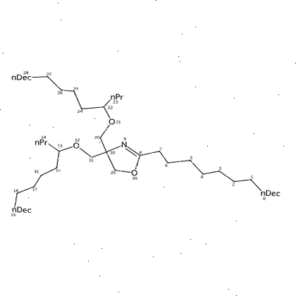 CCCCCCCCCCCCCCCCCC1=NC(COC(CCC)CCCCCCCCCCCCCC)(COC(CCC)CCCCCCCCCCCCCC)CO1